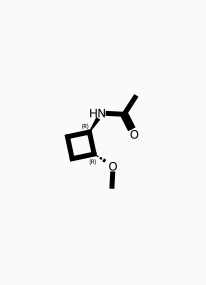 CO[C@@H]1CC[C@H]1NC(C)=O